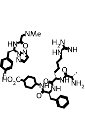 CNCC(=O)N[C@H](Cc1ccc(F)cc1)n1nccn1.C[C@H](N)C(=O)N[C@@H](CCCCNC(=N)N)C(=O)N[C@@H](Cc1ccccc1)C(=O)NC1CCC(C(=O)O)CC1